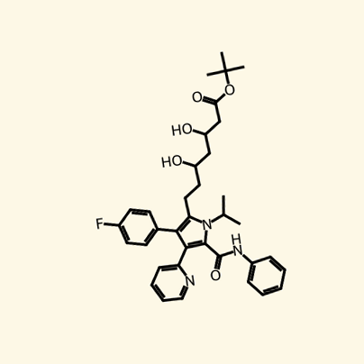 CC(C)n1c(CCC(O)CC(O)CC(=O)OC(C)(C)C)c(-c2ccc(F)cc2)c(-c2ccccn2)c1C(=O)Nc1ccccc1